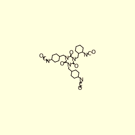 O=C=NC1CCC(Cn2c(=O)n(CC3CCC(N=C=O)CC3)c(=O)n(CC3CCCCC3N=C=O)c2=O)CC1